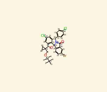 CC(C)(C)[Si](C)(C)OCC1(COC2(c3ccc(Cl)cc3)c3ccc(Br)cc3C(=O)N2Cc2ccc(Cl)cc2)CC1